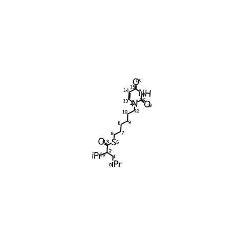 CC(C)CC(C(=O)SCCCCCCn1ccc(=O)[nH]c1=O)C(C)C